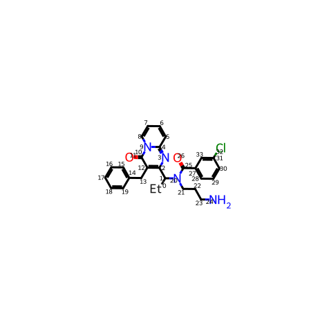 CCC(c1nc2ccccn2c(=O)c1Cc1ccccc1)N(CCCN)C(=O)c1cccc(Cl)c1